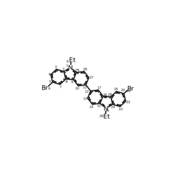 CCn1c2ccc(Br)cc2c2cc(-c3ccc4c(c3)c3cc(Br)ccc3n4CC)ccc21